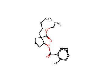 CCCCC1(C(=O)OCC)CCCC1OC(=O)c1ccccc1C